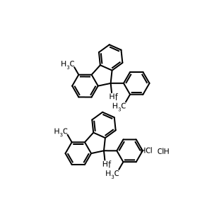 Cc1ccccc1[C]1([Hf])c2ccccc2-c2c(C)cccc21.Cc1ccccc1[C]1([Hf])c2ccccc2-c2c(C)cccc21.Cl.Cl